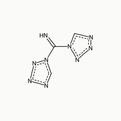 N=C(n1cnnn1)n1cnnn1